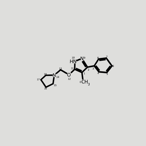 Cc1c(-c2ccccc2)n[nH]c1OCN1CCCC1